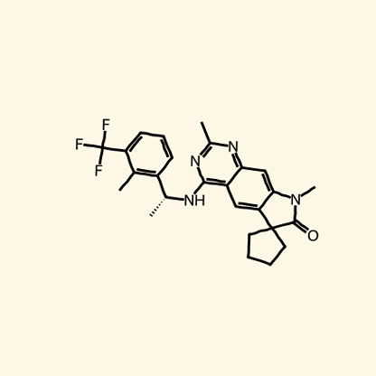 Cc1nc(N[C@H](C)c2cccc(C(F)(F)F)c2C)c2cc3c(cc2n1)N(C)C(=O)C31CCCC1